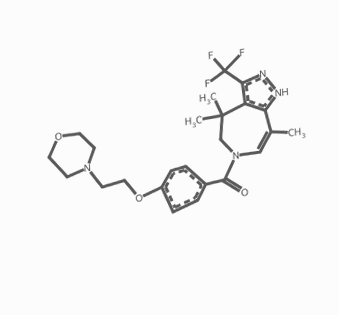 CC1=CN(C(=O)c2ccc(OCCN3CCOCC3)cc2)CC(C)(C)c2c(C(F)(F)F)n[nH]c21